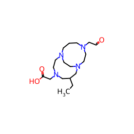 CCC1CN2CCN(CC=O)CCCN(CC2)CCN(CC(=O)O)C1